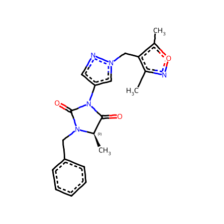 Cc1noc(C)c1Cn1cc(N2C(=O)[C@@H](C)N(Cc3ccccc3)C2=O)cn1